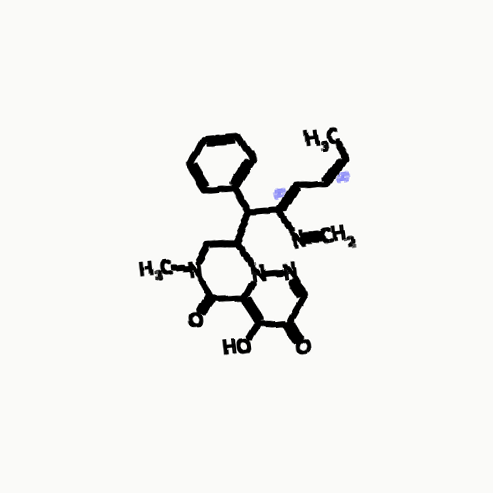 C=N/C(=C\C=C/C)C(c1ccccc1)C1CN(C)C(=O)c2c(O)c(=O)cnn21